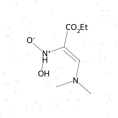 CCOC(=O)/C(=C/N(C)C)[NH+]([O-])O